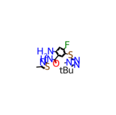 Cc1csc(NC(=O)c2cc(Sc3nnc(C(C)(C)C)n3C)c(F)cc2N)n1